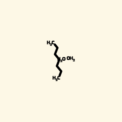 CCCCCCC.O.O